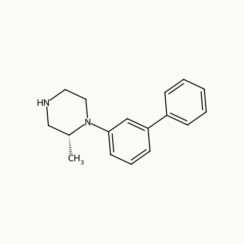 C[C@@H]1CNCCN1c1cccc(-c2ccccc2)c1